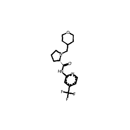 O=C(Nc1cc(C(F)(F)F)ccn1)[C@@H]1CCCN1CC1CCOCC1